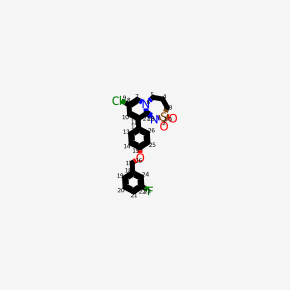 O=S1(=O)CCCN2C=C(Cl)C=C(c3ccc(OCc4cccc(F)c4)cc3)C2=N1